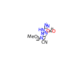 C=C[C@@H](COC)n1c(C#N)cc2cnc(Nc3cn(C)nc3O[C@@H]3CO[C@H]3C)nc21